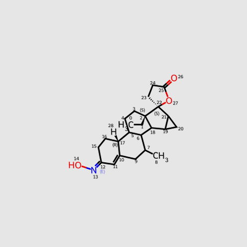 CC[C@]12CCC3C(C(C)CC4=C/C(=N/O)CC[C@@H]43)C1C1CC1[C@@]21CCC(=O)O1